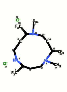 CN1CCC(C(F)(F)F)NCCC(C(F)(F)F)[N]([Ti+2])CCC1C(F)(F)F.[Cl-].[Cl-]